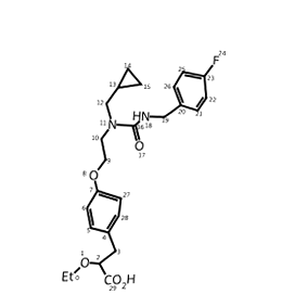 CCOC(Cc1ccc(OCCN(CC2CC2)C(=O)NCc2ccc(F)cc2)cc1)C(=O)O